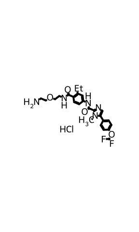 CCc1cc(NC(=O)c2ncc(-c3ccc(OC(F)F)cc3)n2C)ccc1C(=O)NCCOCCN.Cl